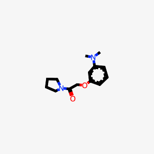 CN(C)c1cccc(OCC(=O)N2CCCC2)c1